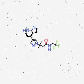 CC(C)(CC(=O)NCC(F)(F)F)n1cc(-c2cc[nH]c3nccc2-3)cn1